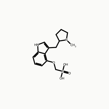 CN1CCCC1Cc1c[nH]c2cccc(OCP(=O)(O)O)c12